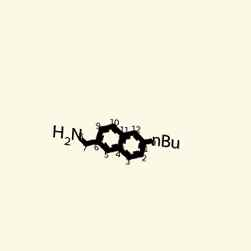 CCCCc1ccc2cc(CN)ccc2c1